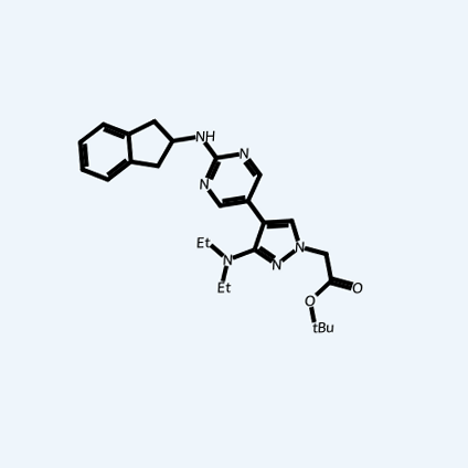 CCN(CC)c1nn(CC(=O)OC(C)(C)C)cc1-c1cnc(NC2Cc3ccccc3C2)nc1